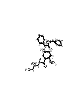 O=C(NCC(O)CO)c1cc(N[C@@H](C(=O)Nc2nccs2)c2ccccc2)ccc1[N+](=O)[O-]